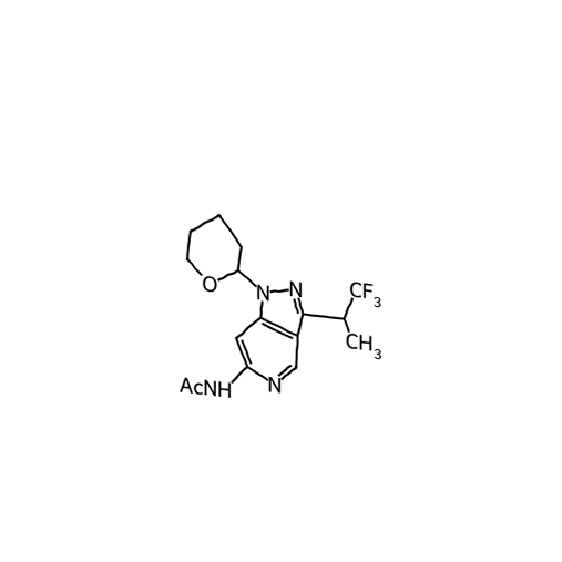 CC(=O)Nc1cc2c(cn1)c(C(C)C(F)(F)F)nn2C1CCCCO1